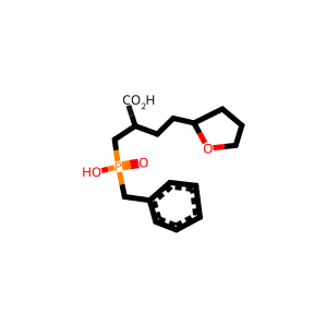 O=C(O)C(CCC1CCCO1)CP(=O)(O)Cc1ccccc1